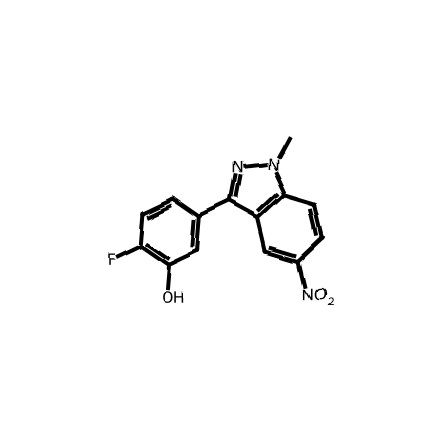 Cn1nc(-c2ccc(F)c(O)c2)c2cc([N+](=O)[O-])ccc21